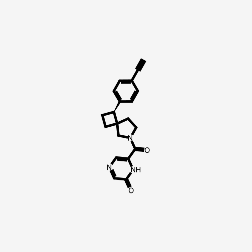 C#Cc1ccc([C@@H]2CCC23CCN(C(=O)c2cncc(=O)[nH]2)C3)cc1